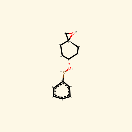 c1ccc(SO[C@H]2CC[C@@]3(CC2)CO3)cc1